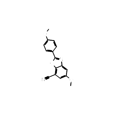 COc1ccc(-c2nc3cc(OC)cc(C#N)c3o2)cc1